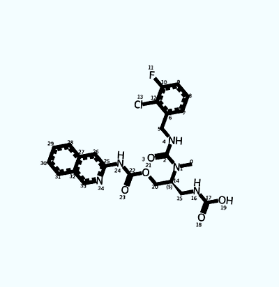 CN(C(=O)NCc1cccc(F)c1Cl)[C@@H](CNC(=O)O)COC(=O)Nc1cc2ccccc2cn1